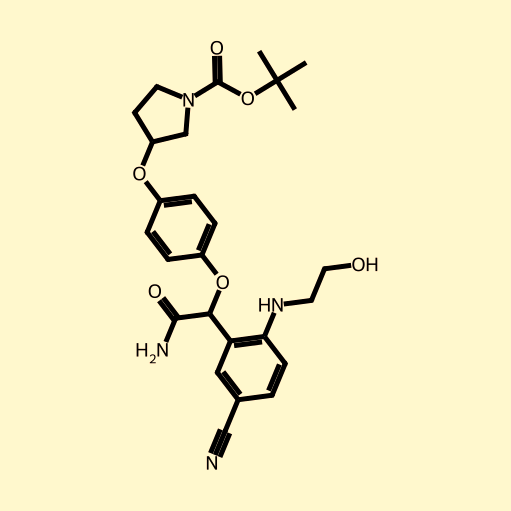 CC(C)(C)OC(=O)N1CCC(Oc2ccc(OC(C(N)=O)c3cc(C#N)ccc3NCCO)cc2)C1